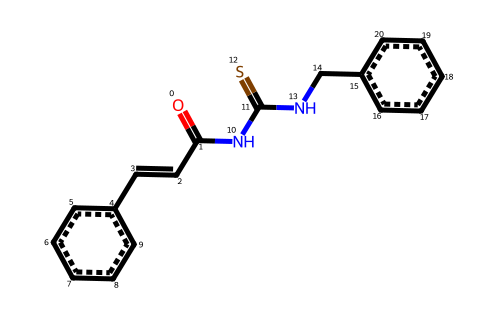 O=C(C=Cc1ccccc1)NC(=S)NCc1ccccc1